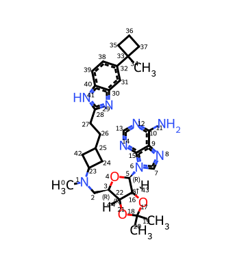 CN(C[C@H]1O[C@@H](n2cnc3c(N)ncnc32)[C@H]2OC(C)(C)O[C@@H]21)C1CC(CCc2nc3cc(C4(C)CCC4)ccc3[nH]2)C1